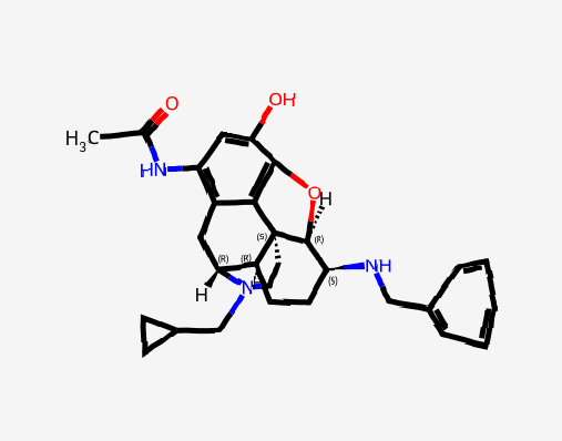 CC(=O)Nc1cc(O)c2c3c1C[C@@H]1[C@@H]4CC[C@H](NCc5ccccc5)[C@H](O2)[C@]34CCN1CC1CC1